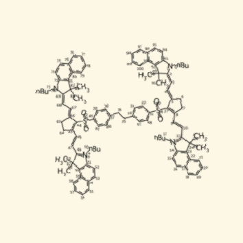 CCCCN1/C(=C/C=C2\CCC(/C=C/C3=[N+](CCCC)c4ccc5ccccc5c4C3(C)C)=C2S(=O)(=O)c2ccc(CCc3ccc(S(=O)(=O)C4=C(/C=C/C5=[N+](CCCC)c6ccc7ccccc7c6C5(C)C)CC/C4=C\C=C4\N(CCCC)c5ccc6ccccc6c5C4(C)C)cc3)cc2)C(C)(C)c2c1ccc1ccccc21